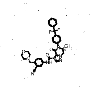 C[C@H]1Cn2ncc(C(=O)Nc3ccc(CN4CCOCC4)c(C#N)c3)c2C(=O)N1c1ccc(C(F)(F)c2ccccc2)cc1